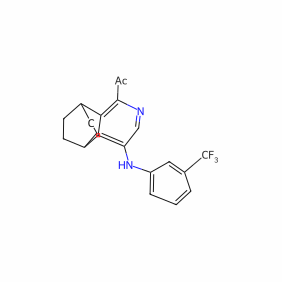 CC(=O)c1ncc(Nc2cccc(C(F)(F)F)c2)c2c1C1CCC2CC1